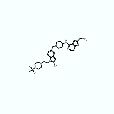 CS(=O)(=O)N1CCN(CCn2c(C#N)cc3cc(CN4CCC(Nc5ncnc6sc(CC(F)(F)F)cc56)CC4)ccc32)CC1